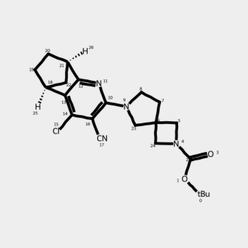 CC(C)(C)OC(=O)N1CC2(CCN(c3nc4c(c(Cl)c3C#N)[C@H]3CC[C@@H]4C3)C2)C1